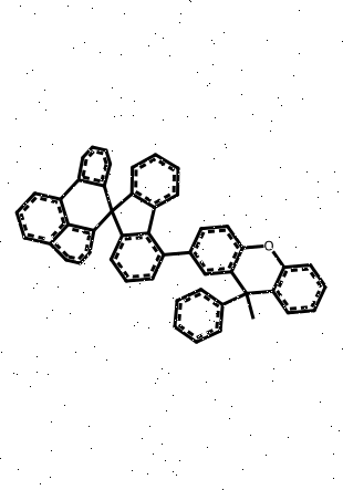 CC1(c2ccccc2)c2ccccc2Oc2ccc(-c3cccc4c3-c3ccccc3C43c4ccccc4-c4cccc5cccc3c45)cc21